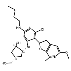 COCCNc1nc(Cl)c(C2Cc3cc(OC)nc(C)c3O2)c(N[C@@H]2C[C@H](CO)C[C@H]2O)n1